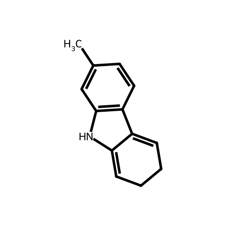 Cc1ccc2c3c([nH]c2c1)=CCCC=3